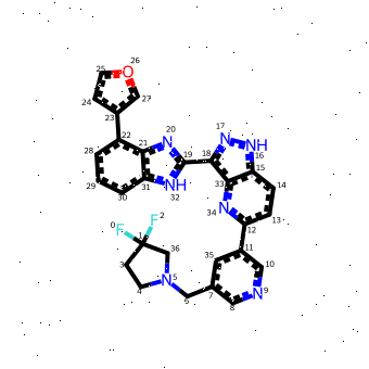 FC1(F)CCN(Cc2cncc(-c3ccc4[nH]nc(-c5nc6c(-c7ccoc7)cccc6[nH]5)c4n3)c2)C1